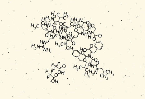 CC[C@H](C)[C@H](NC(=O)[C@@H](CCCNC(=N)N)NC(=O)[C@H](CC(C)C)NC(=O)[C@@H](N)C(O)C(C)C)C(=O)N[C@H](C(=O)NCC(=O)NC(C(=O)NC(CO)C(=O)Oc1cccc(C[C@@H](C(=O)O)N(C(=O)OCc2ccccc2)C(=O)[C@H](CC(C)C)NC(=O)[C@H](N)CC(C)C)c1)[C@H](O)C(N)=O)[C@H](C)O.O=C(O)C(F)(F)F.O=C(O)C(F)(F)F